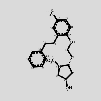 CCOC(=O)N1C[C@H](O)C[C@H]1CCOc1ccc(C)cc1CCc1ccccc1